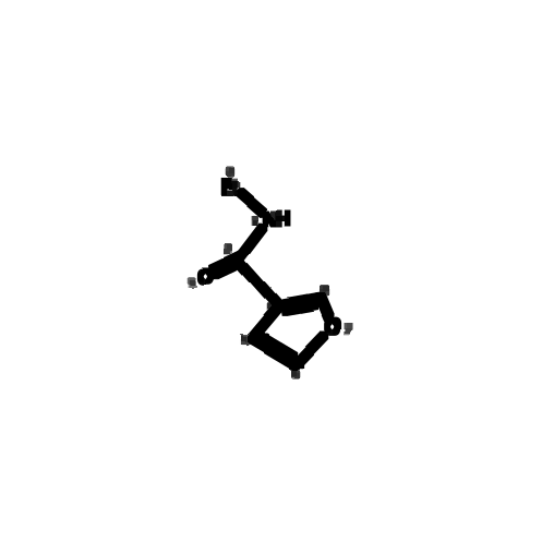 CCNC(=O)c1c[c]oc1